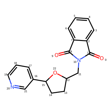 O=C1c2ccccc2C(=O)N1CC1CCC(c2cccnc2)O1